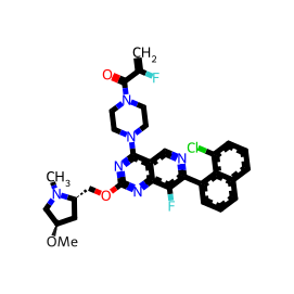 C=C(F)C(=O)N1CCN(c2nc(OC[C@@H]3C[C@@H](OC)CN3C)nc3c(F)c(-c4cccc5cccc(Cl)c45)ncc23)CC1